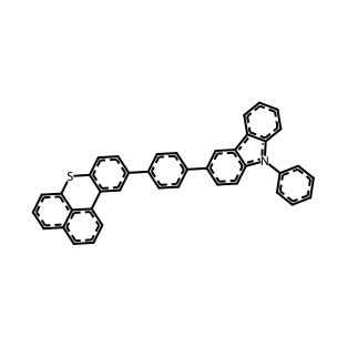 c1ccc(-n2c3ccccc3c3cc(-c4ccc(-c5ccc6c(c5)-c5cccc7cccc(c57)S6)cc4)ccc32)cc1